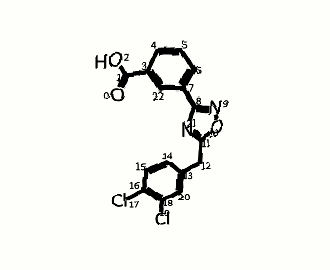 O=C(O)c1cccc(-c2noc(Cc3ccc(Cl)c(Cl)c3)n2)c1